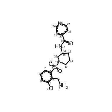 NCc1c(Cl)cccc1S(=O)(=O)N1CCC[C@H](NC(=O)c2ccncc2)C1